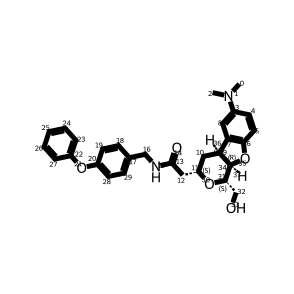 CN(C)c1ccc2c(c1)[C@@H]1C[C@@H](CC(=O)NCc3ccc(Oc4ccccc4)cc3)O[C@@H](CO)[C@@H]1O2